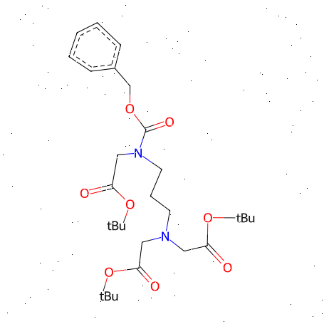 CC(C)(C)OC(=O)CN(CCCN(CC(=O)OC(C)(C)C)C(=O)OCc1ccccc1)CC(=O)OC(C)(C)C